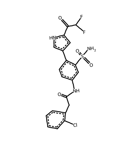 NS(=O)(=O)c1cc(NC(=O)Cc2ccccc2Cl)ccc1-c1c[nH]c(C(=O)C(F)F)c1